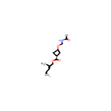 C=C/C=C(\C)COC(=O)[C@H]1C[C@@H](OCNC(=O)CC)C1